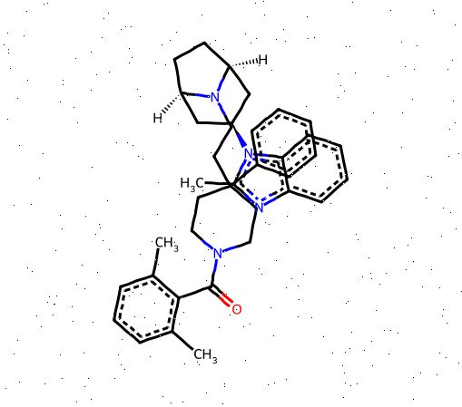 Cc1cccc(C)c1C(=O)N1CCC(CCN2[C@@H]3CC[C@H]2C[C@@H](n2c(C)nc4ccccc42)C3)(c2ccccc2)CC1